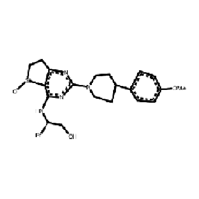 COc1ccc(C2CCN(c3nc4c(c(N[C@@H](CO)C(C)C)n3)[S+]([O-])CC4)CC2)cc1